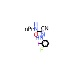 CCCNC(=O)/C(C#N)=N\Nc1cccc(F)c1I